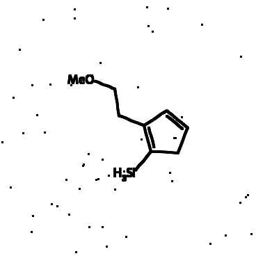 COCCC1=C([SiH3])CC=C1